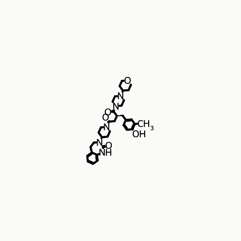 Cc1cc(C[C@@H](CC(=O)N2CCC(N3CCc4ccccc4NC3=O)CC2)C(=O)N2CCN(C3CCOCC3)CC2)ccc1O